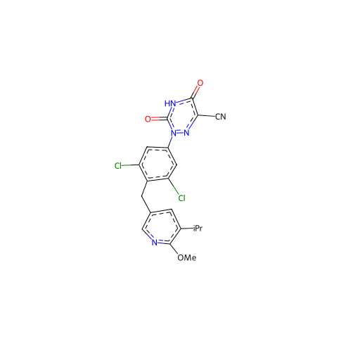 COc1ncc(Cc2c(Cl)cc(-n3nc(C#N)c(=O)[nH]c3=O)cc2Cl)cc1C(C)C